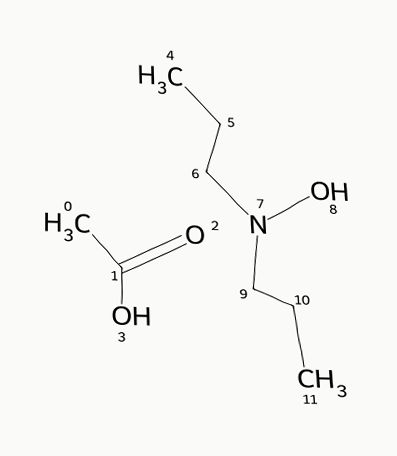 CC(=O)O.CCCN(O)CCC